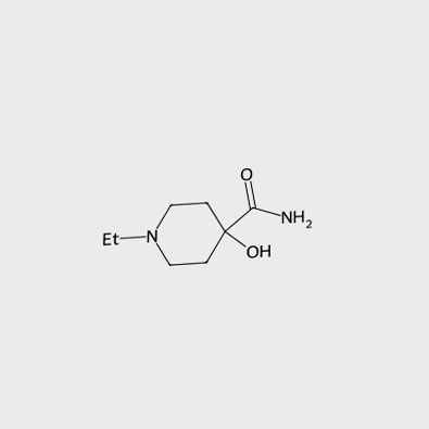 CCN1CCC(O)(C(N)=O)CC1